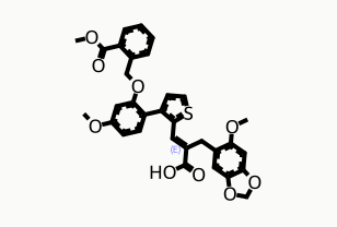 COC(=O)c1ccccc1COc1cc(OC)ccc1-c1ccsc1/C=C(\Cc1cc2c(cc1OC)OCO2)C(=O)O